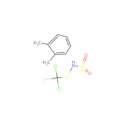 Cc1ccccc1C.O=[SH](=O)NSC(F)(Cl)Cl